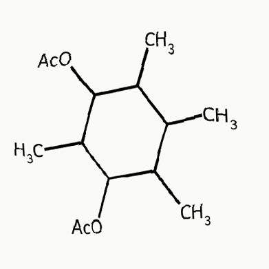 CC(=O)OC1C(C)C(C)C(C)C(OC(C)=O)C1C